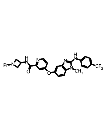 CC(C)N1CC(NC(=O)c2cc(Oc3ccc4c(c3)nc(Nc3ccc(C(F)(F)F)cc3)n4C)ccn2)C1